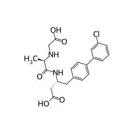 C[C@@H](NCC(=O)O)C(=O)N[C@@H](CC(=O)O)Cc1ccc(-c2cccc(Cl)c2)cc1